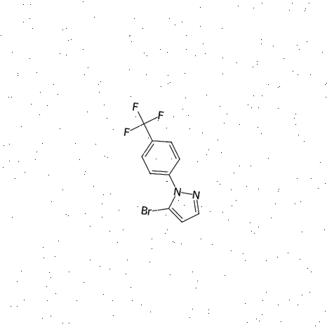 FC(F)(F)c1ccc(-n2nccc2Br)cc1